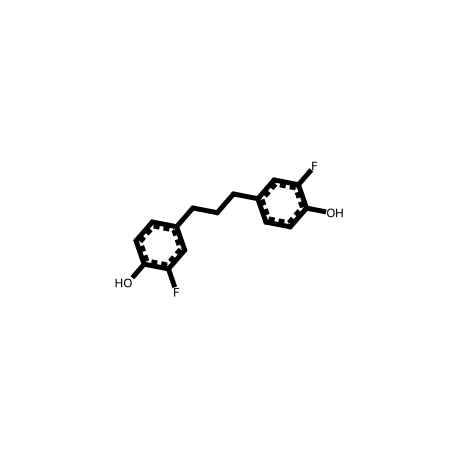 Oc1ccc(CCCc2ccc(O)c(F)c2)cc1F